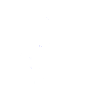 COc1ccc(C(=O)Nc2cc(C(F)(F)F)nn2C)cn1